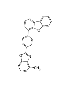 Cc1cccc2oc(-c3ccc(-c4cccc5c4oc4ccccc45)cc3)nc12